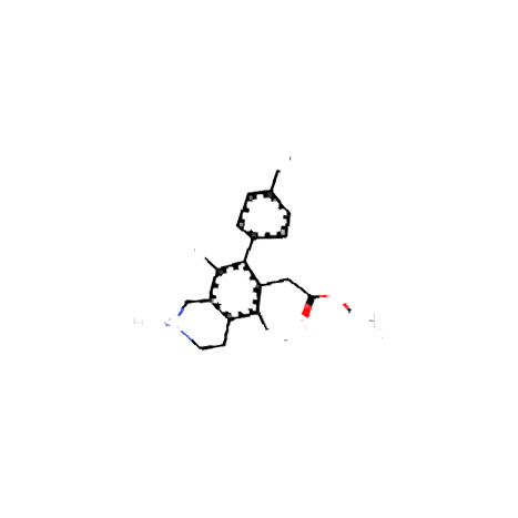 COC(=O)Cc1c(C)c2c(c(C)c1-c1ccc(C)cc1)CN(C)CC2